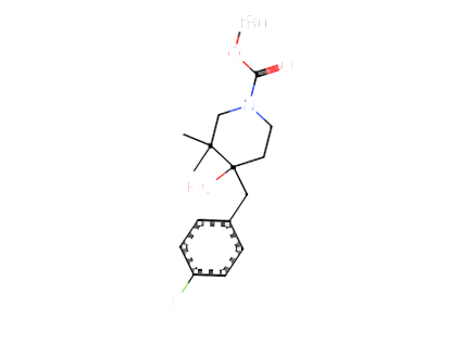 CC(C)(C)OC(=O)N1CCC(O)(Cc2ccc(F)cc2)C(C)(C)C1